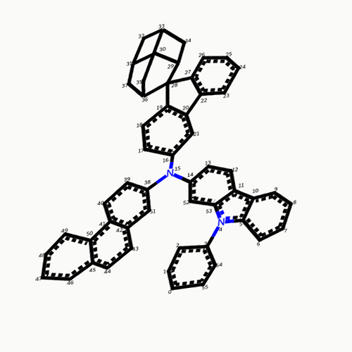 c1ccc(-n2c3ccccc3c3ccc(N(c4ccc5c(c4)-c4ccccc4C54C5CC6CC(C5)CC4C6)c4ccc5c(ccc6ccccc65)c4)cc32)cc1